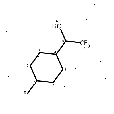 CC1CCC(C(O)C(F)(F)F)CC1